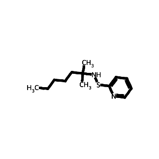 CCCCCC(C)(C)NSc1ccccn1